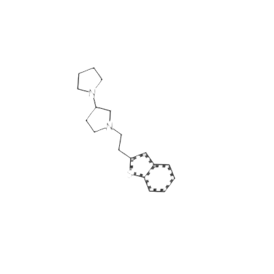 c1ccc2sc(CCN3CCC(N4CCCC4)C3)cc2c1